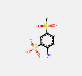 CS(=O)(=O)c1ccc([NH])c(S(=O)(=O)O)c1